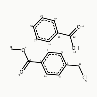 COC(=O)c1ccc(CCl)cc1.O=C(O)c1ccccc1